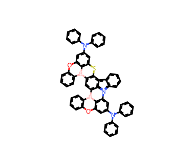 c1ccc(N(c2ccccc2)c2cc3c4c(c2)Sc2c(cc5c6c2c2ccccc2n6-c2cc(N(c6ccccc6)c6ccccc6)cc6c2B5c2ccccc2O6)B4c2ccccc2O3)cc1